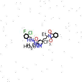 CCC(CCC1(C(F)(F)F)C=C[C@@](NC(=O)O)(N(C)C(=O)NCc2cccc(F)c2Cl)N=C1)N1C(=O)c2ccccc2C1=O